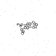 CC(C)C(=O)OCCOc1ccc2cc(C3=CCCc4c3oc3ccccc43)ccc2c1-c1c(OCCO)ccc2cc(-c3cccc4c5c(oc34)=CCCC=5)ccc12